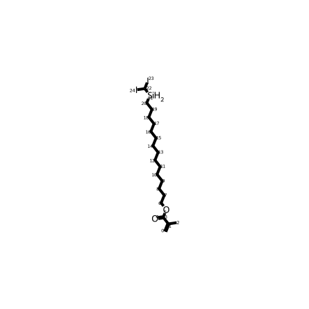 C=C(C)C(=O)OCCCCCCCCCCCCCCC[SiH2]C(I)I